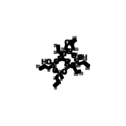 C=CC[Si]1(C)O[Si](O)(CC=C)O[Si]2(CC=C)O[Si](CO)(CC=C)O[Si](O)(CC=C)O[Si](CC=C)(O1)O2